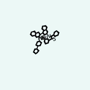 B1c2c(cc3ccccc3c2-c2cc3ccccc3cc2Nc2ccc(-c3ccccc3)cc2)-n2c3c1cccc3c1sc3ccccc3c12